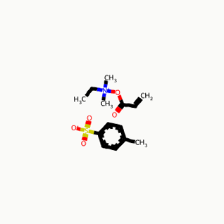 C=CC(=O)O[N+](C)(C)CC.Cc1ccc(S(=O)(=O)[O-])cc1